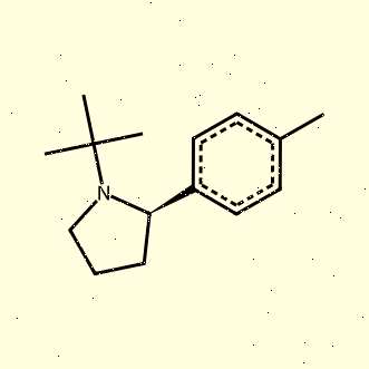 Cc1ccc([C@H]2CCCN2C(C)(C)C)cc1